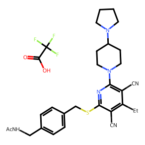 CCc1c(C#N)c(SCc2ccc(CNC(C)=O)cc2)nc(N2CCC(N3CCCC3)CC2)c1C#N.O=C(O)C(F)(F)F